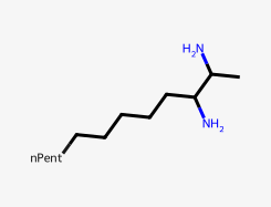 CCCCCCCCCCC(N)C(C)N